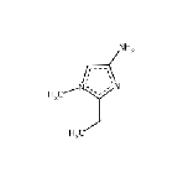 CCc1nc(N)cn1C